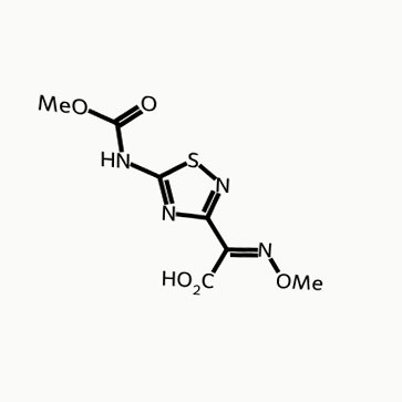 CON=C(C(=O)O)c1nsc(NC(=O)OC)n1